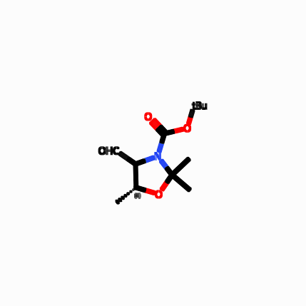 C[C@H]1OC(C)(C)N(C(=O)OC(C)(C)C)C1C=O